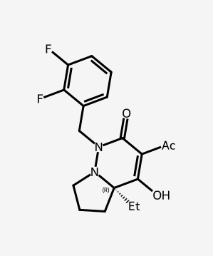 CC[C@]12CCCN1N(Cc1cccc(F)c1F)C(=O)C(C(C)=O)=C2O